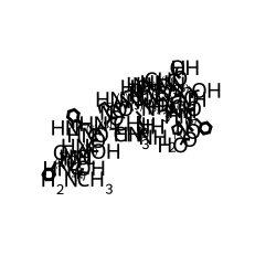 CC(C)C[C@H](NC(=O)[C@H](Cc1c[nH]c2ccccc12)NC(=O)[C@@H](NC(=O)CNC(=O)[C@H](Cc1ccccc1)NC(=O)[C@@H](N)[C@@H](C)O)[C@@H](C)O)C(=O)N1CCC[C@H]1C(=O)N[C@@H](Cc1c[nH]cn1)C(=O)N[C@@H](CCCNC(=N)N)C(=O)N[C@@H](Cc1c[nH]cn1)C(=O)N[C@H](C(=O)N[C@@H](CC(=O)O)C(=O)N[C@@H](CC(=O)O)C(=O)N[C@@H](C)C(=O)N[C@@H](Cc1ccccc1)C(=O)N1CCC[C@H]1C(=O)O)[C@@H](C)O